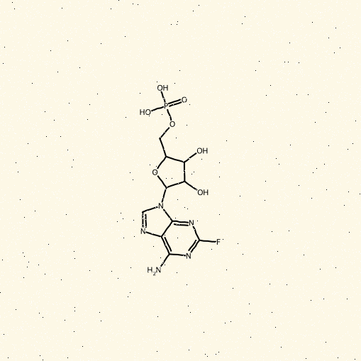 Nc1nc(F)nc2c1ncn2C1OC(COP(=O)(O)O)C(O)C1O